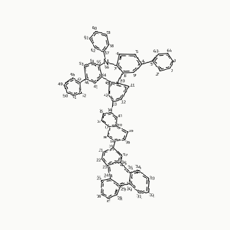 c1ccc(-c2ccc3c(c2)-c2ccc(-c4ccc5cc(-c6ccc7c8ccccc8c8ccccc8c7c6)ccc5c4)cc2-c2cc(-c4ccccc4)ccc2N3c2ccccc2)cc1